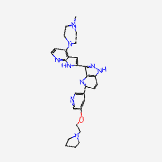 CN1CCN(c2ccnc3[nH]c(-c4n[nH]c5ccc(-c6cncc(OCCN7CCCC7)c6)nc45)cc23)CC1